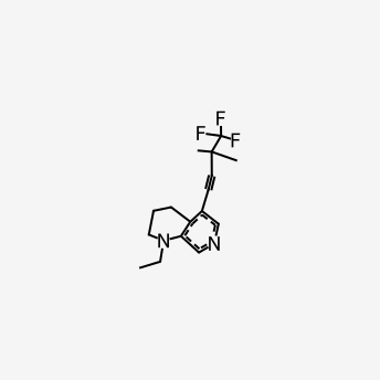 CCN1CCCc2c(C#CC(C)(C)C(F)(F)F)cncc21